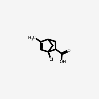 CC1=CC2(Cl)CC1CC2C(=O)O